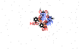 COc1cc(OC)nc(NC(=O)NS(=O)(=O)Cc2ccccc2C(=O)O)n1.COc1nc(C)nc(NC(=O)NS(=O)(=O)c2ccccc2C(=O)O)n1